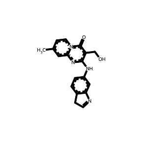 Cc1ccn2c(=O)c(CO)c(Nc3ccc4c(c3)N=CC4)nc2c1